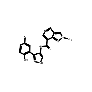 Cn1cc2cncc(C(=O)Nc3c[nH]nc3-c3cc(Cl)ccc3O)c2n1